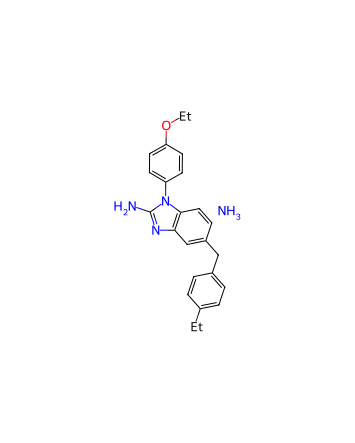 CCOc1ccc(-n2c(N)nc3cc(Cc4ccc(CC)cc4)ccc32)cc1.N